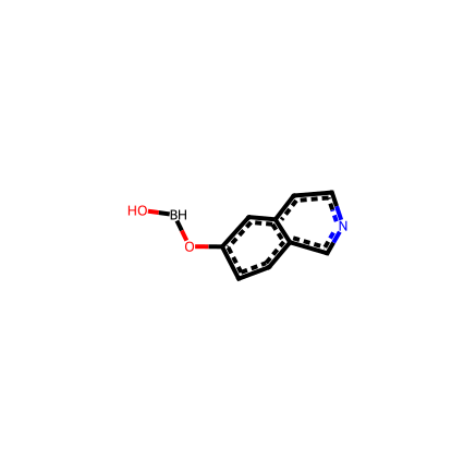 OBOc1ccc2cnccc2c1